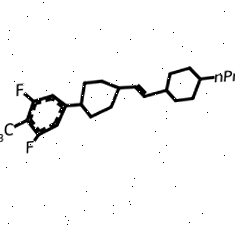 CCCC1CCC(C=CC2CCC(c3cc(F)c(C(F)(F)F)c(F)c3)CC2)CC1